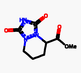 COC(=O)C1CCCn2c(=O)[nH]c(=O)n21